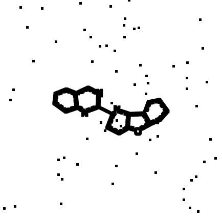 c1ccc2nc(-c3ccc4oc5ccccc5c4n3)ncc2c1